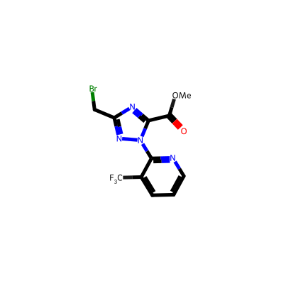 COC(=O)c1nc(CBr)nn1-c1ncccc1C(F)(F)F